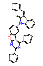 c1ccc(-c2nc(-c3ccccc3)c3c(n2)oc2ccc(-n4c5ccccc5c5cc6ccccc6cc54)cc23)cc1